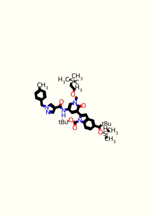 Cc1ccc(Cn2cc(C(=O)Nc3cc(-c4cc5cc(C(O[SiH](C)C)C(C)(C)C)ccc5n4C(=O)OC(C)(C)C)c(=O)n(COCC[Si](C)(C)C)c3)cn2)cc1